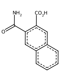 NC(=O)c1cc2ccccc2cc1C(=O)O